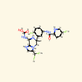 CC1(c2cc(NC(=O)c3ccc(F)cn3)ccc2F)Cn2c(C(F)F)cnc2C(NC(=O)O)=N1